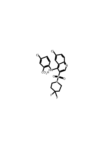 O=C(O)c1cc(Cl)ccc1Nc1c(S(=O)(=O)N2CCC(F)(F)CC2)cnc2ccc(Cl)cc12